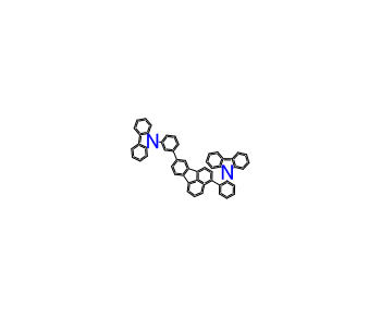 c1cc(-c2ccc3c(c2)-c2ccc(-c4ccccc4-n4c5ccccc5c5ccccc54)c4cccc-3c24)cc(-n2c3ccccc3c3ccccc32)c1